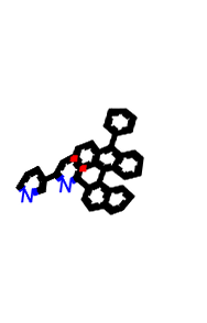 c1ccc(-c2c3ccccc3c(-c3c(-c4cccc(-c5cccnc5)n4)ccc4ccccc34)c3ccccc23)cc1